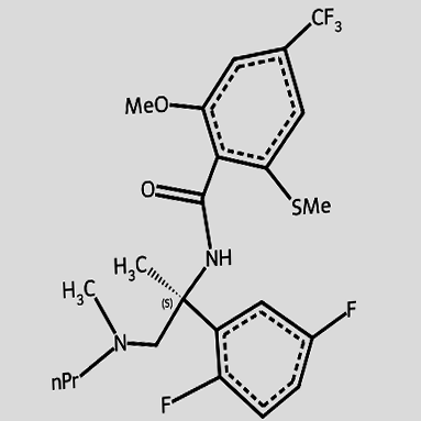 CCCN(C)C[C@@](C)(NC(=O)c1c(OC)cc(C(F)(F)F)cc1SC)c1cc(F)ccc1F